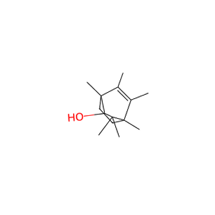 CC1=C(C)C2(C)CCC1(C)C(O)C2(C)C